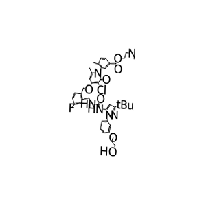 Cc1ccc(C(=O)OCCN(C)C)cc1-n1c(C)cc(OCc2ccc(F)cc2CNC(=O)Nc2cc(C(C)(C)C)nn2-c2cccc(OCCO)c2)c(Cl)c1=O